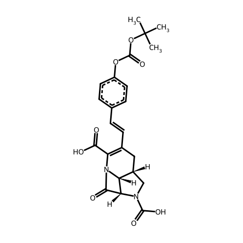 CC(C)(C)OC(=O)Oc1ccc(/C=C/C2=C(C(=O)O)N3C(=O)[C@@H]4[C@H]3[C@H](C2)CN4C(=O)O)cc1